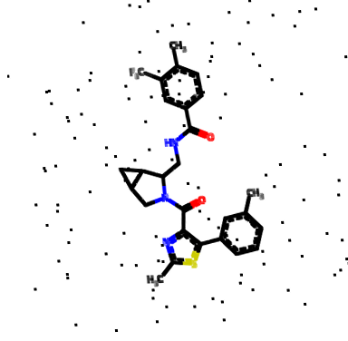 Cc1cccc(-c2sc(C)nc2C(=O)N2CC3CC3C2CNC(=O)c2ccc(C)c(C(F)(F)F)c2)c1